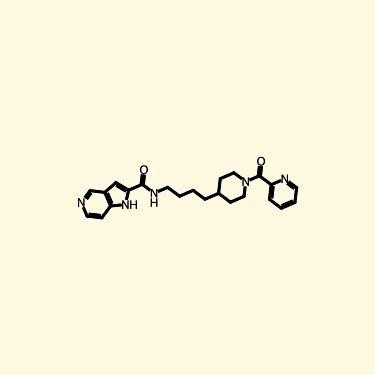 O=C(NCCCCC1CCN(C(=O)c2ccccn2)CC1)c1cc2cnccc2[nH]1